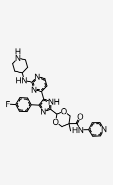 CC1(C(=O)Nc2ccncc2)COC(c2nc(-c3ccc(F)cc3)c(-c3ccnc(NC4CCNCC4)n3)[nH]2)OC1